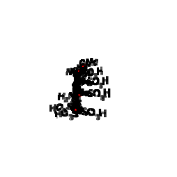 COc1ccc(S(=O)(=O)O)c2c1nc1c(C#N)c(C)c(N=Nc3cc(C)c(N=Nc4cc(N)c(N=Nc5nc6c(S(=O)(=O)O)cc7c(S(=O)(=O)O)cc(S(=O)(=O)O)cc7c6s5)cc4SCCCS(=O)(=O)O)cc3OCCCS(=O)(=O)O)c(O)n12